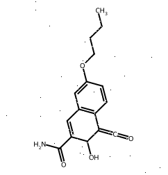 CCCCOc1ccc2c(c1)C=C(C(N)=O)C(O)C2=C=O